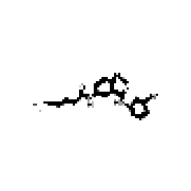 C/C=C/C=C/C(=O)Nc1ccc2ncnc(Nc3cccc(Br)c3)c2c1